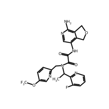 CC(c1ncccc1F)N(Cc1ccc(OC(F)(F)F)cn1)C(=O)C(=O)Nc1cnc(N)c2c1COC2